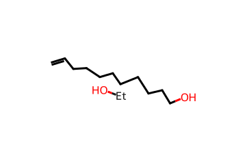 C=CCCCCCCCCCO.CCO